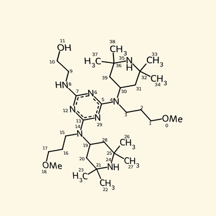 COCCCN(c1nc(NCCO)nc(N(CCCOC)C2CC(C)(C)NC(C)(C)C2)n1)C1CC(C)(C)NC(C)(C)C1